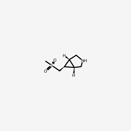 CS(=O)(=O)C[C@H]1[C@@H]2CNC[C@@H]21